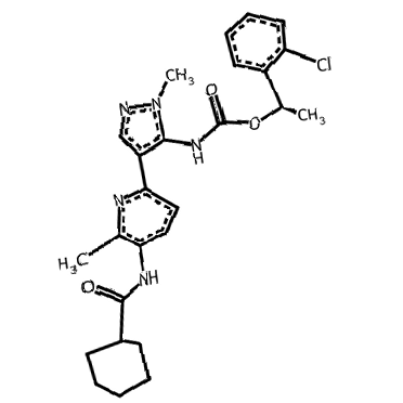 Cc1nc(-c2cnn(C)c2NC(=O)O[C@H](C)c2ccccc2Cl)ccc1NC(=O)C1CCCCC1